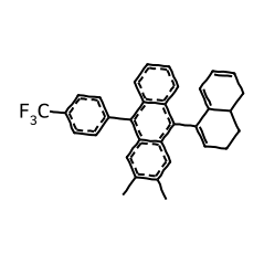 Cc1cc2c(C3=CCCC4CC=CC=C34)c3ccccc3c(-c3ccc(C(F)(F)F)cc3)c2cc1C